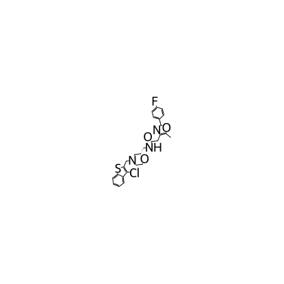 Cc1oc(-c2ccc(F)cc2)nc1CC(=O)NC[C@H]1CN(Cc2sc3ccccc3c2Cl)CCO1